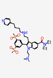 CCN(CC)C(=O)c1ccc2c(c1)c(CCNCCCCc1ccncc1)c(-c1cc(S(C)(=O)=O)cc(S(C)(=O)=O)c1)n2CCN(C)C